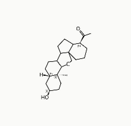 CC(=O)[C@H]1CCCC23CCC4C(CC[C@H]5C[C@H](O)CC[C@]45C)C2CCC13